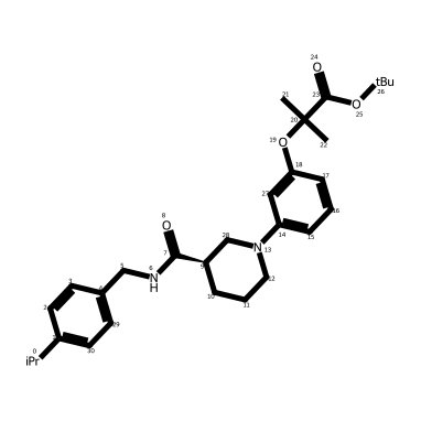 CC(C)c1ccc(CNC(=O)[C@@H]2CCCN(c3cccc(OC(C)(C)C(=O)OC(C)(C)C)c3)C2)cc1